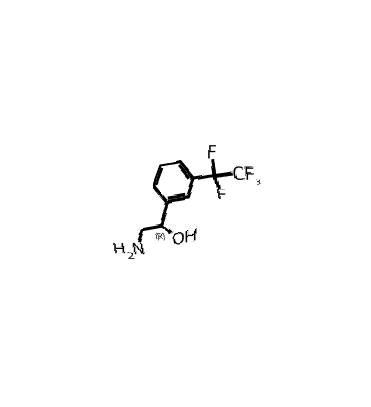 NC[C@H](O)c1cccc(C(F)(F)C(F)(F)F)c1